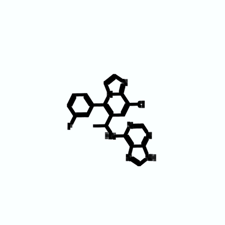 CC(Nc1ncnc2[nH]cnc12)c1cc(Cl)c2nccn2c1-c1cccc(F)c1